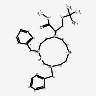 COC(=O)C(COC(C)(C)C)N1CCNCCN(Cc2ccccc2)CCN(Cc2ccccc2)CC1